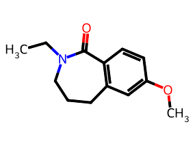 CCN1CCCc2cc(OC)ccc2C1=O